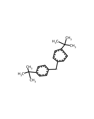 CC(C)(C)c1ccc([C]c2ccc(C(C)(C)C)cc2)cc1